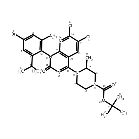 Cc1cc(Br)cc(C(C)C)c1-n1c(=O)nc(N2CCN(C(=O)OC(C)(C)C)C[C@@H]2C)c2cc(Cl)c(Cl)nc21